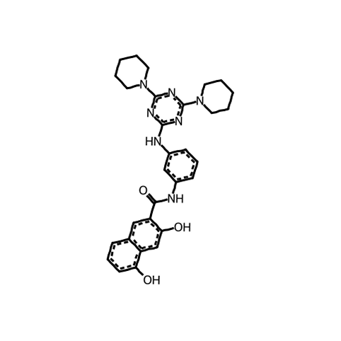 O=C(Nc1cccc(Nc2nc(N3CCCCC3)nc(N3CCCCC3)n2)c1)c1cc2cccc(O)c2cc1O